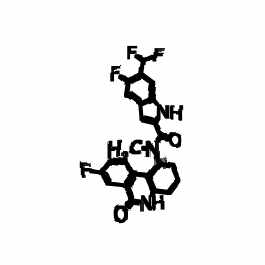 CN(C(=O)c1cc2cc(F)c(C(F)F)cc2[nH]1)[C@H]1CCCc2[nH]c(=O)c3cc(F)ccc3c21